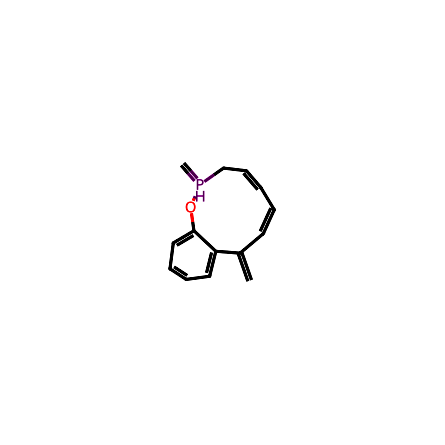 C=C1/C=C\C=C/C[PH](=C)Oc2ccccc21